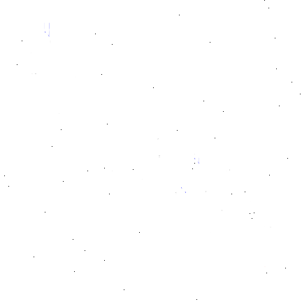 Oc1ccc(-c2nc(-c3ccc(CCCC4CCNCC4)cc3)no2)cc1